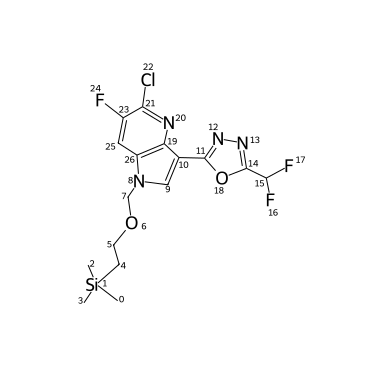 C[Si](C)(C)CCOCn1cc(-c2nnc(C(F)F)o2)c2nc(Cl)c(F)cc21